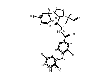 C=CC(C)(C)[C@H]1CC[C@@H](C2(C)C=C(F)C=CC2)N1C(=O)CNC(=O)c1ccc(Cc2cc(C)n[nH]c2=O)c(C)c1